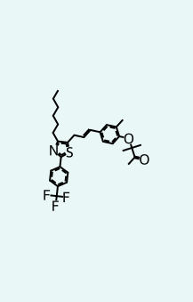 CCCCCCc1nc(-c2ccc(C(F)(F)F)cc2)sc1C/C=C/c1ccc(OC(C)(C)C(C)=O)c(C)c1